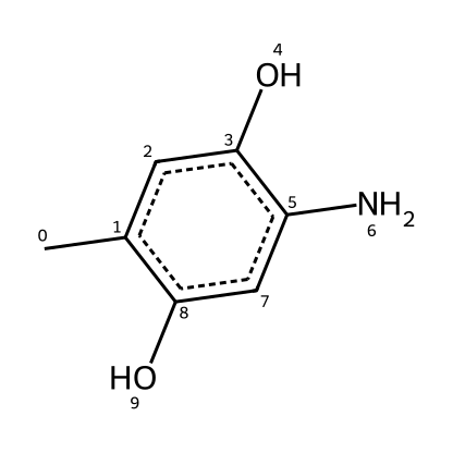 Cc1cc(O)c(N)cc1O